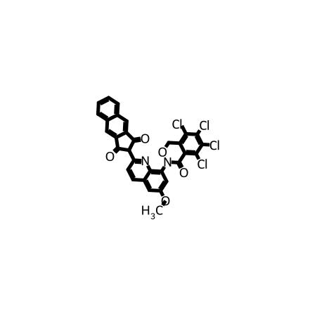 COc1cc(N2OCc3c(Cl)c(Cl)c(Cl)c(Cl)c3C2=O)c2nc(C3C(=O)c4cc5ccccc5cc4C3=O)ccc2c1